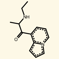 CCNC(C)C(=O)c1cccn2cccc12